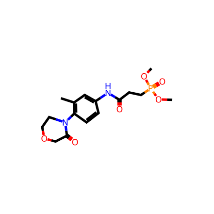 COP(=O)(CCC(=O)Nc1ccc(N2CCOCC2=O)c(C)c1)OC